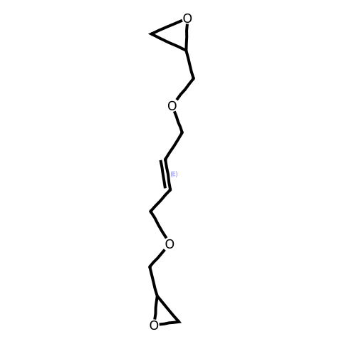 C(=C\COCC1CO1)/COCC1CO1